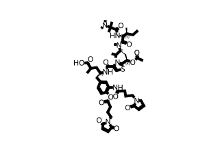 CC[C@H](C)[C@H](NC(=O)C(C)(C)N(C)C)C(=O)N(C)[C@H](C[C@@H](OC(C)=O)c1nc(C(=O)N[C@@H](Cc2ccc(OC(=O)CCCN3C(=O)C=CC3=O)c(NC(=O)CCCN3CC=CC3=O)c2)CC(C)C(=O)O)cs1)C(C)C